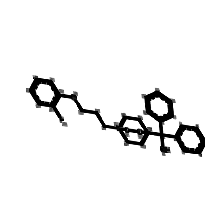 OC(c1ccccc1)(c1ccccc1)C12CC[N+](CCCOc3ccccc3F)(CC1)CC2